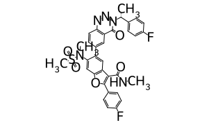 CNC(=O)c1c(-c2ccc(F)cc2)oc2cc(N(C)S(C)(=O)=O)c(-c3ccc4nnn([C@H](C)c5ccc(F)cc5)c(=O)c4c3)cc12